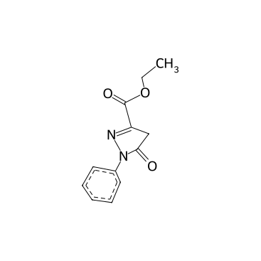 CCOC(=O)C1=NN(c2ccccc2)C(=O)C1